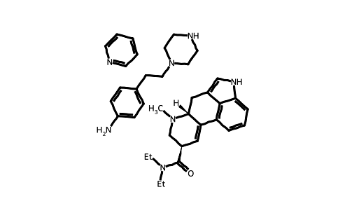 CCN(CC)C(=O)[C@@H]1C=C2c3cccc4[nH]cc(c34)C[C@H]2N(C)C1.Nc1ccc(CCN2CCNCC2)cc1.c1ccncc1